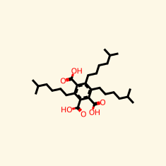 CC(C)CCCCc1c(CCCCC(C)C)c(C(=O)O)c(C(=O)O)c(CCCCC(C)C)c1C(=O)O